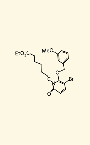 CCOC(=O)CCCCCCn1c(OCc2cccc(OC)c2)c(Br)ccc1=O